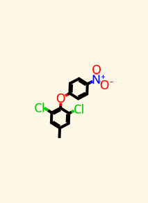 Cc1cc(Cl)c(Oc2ccc([N+](=O)[O-])cc2)c(Cl)c1